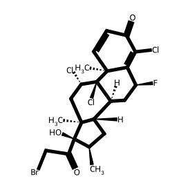 C[C@@H]1C[C@H]2[C@@H]3C[C@H](F)C4=C(Cl)C(=O)C=C[C@]4(C)[C@@]3(Cl)[C@@H](Cl)C[C@]2(C)[C@@]1(O)C(=O)CBr